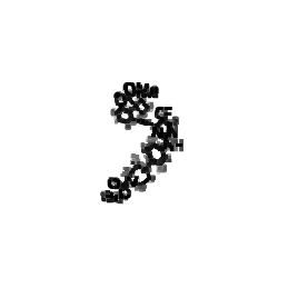 COC(=O)C1(c2ccccc2C#Cc2nc(Nc3ccc(C4CCN(C(=O)OC(C)(C)C)CC4)cc3)ncc2C(F)(F)F)CCC1